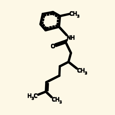 CC(C)=CCCC(C)CC(=O)Nc1ccccc1C